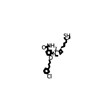 CC[C@H](CS)C/C=C/C[C@@H]1CC[C@H]1CN(CC)c1cc(C(N)=O)ccc1OCCCCc1cccc(Cl)c1